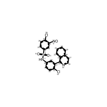 O=Nc1cc(S(=O)(=O)Nc2ccc(Cl)c(-c3nccc4ccccc34)c2)ccc1Cl